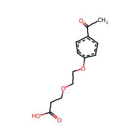 CC(=O)c1ccc(OCCOCCC(=O)O)cc1